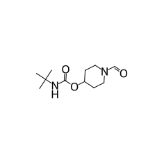 CC(C)(C)NC(=O)OC1CCN(C=O)CC1